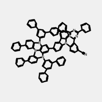 N#Cc1ccc(-n2c3ccccc3c3cc(-c4cc5c6c(c4)N(c4cc(-c7ccccc7)cc(-c7ccccc7)c4)c4ccc(-c7ccccc7)cc4B6c4cc(-c6ccccc6)ccc4N5c4cc(-c5ccccc5)cc(-c5ccccc5)c4)ccc32)c(-c2nc(-c3ccccc3)nc(-c3ccccc3)n2)c1